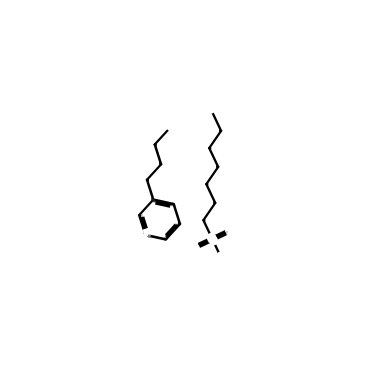 CCCCCCCS(=O)(=O)O.CCCCc1cccnc1